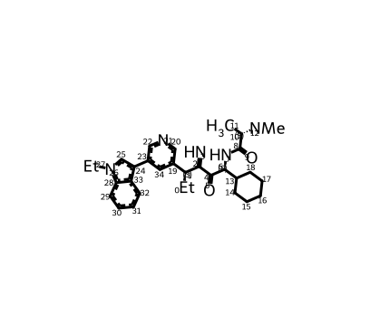 CC[C@H](C(=N)C(=O)[C@@H](NC(=O)[C@H](C)NC)C1CCCCC1)c1cncc(-c2cn(CC)c3ccccc23)c1